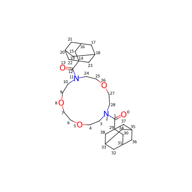 O=C(N1CCOCCOCCN(C(=O)C23CC4CC(CC(C4)C2)C3)CCOCC1)C12CC3CC(CC(C3)C1)C2